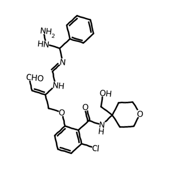 NNC(/N=C/N/C(=C\C=O)COc1cccc(Cl)c1C(=O)NC1(CO)CCOCC1)c1ccccc1